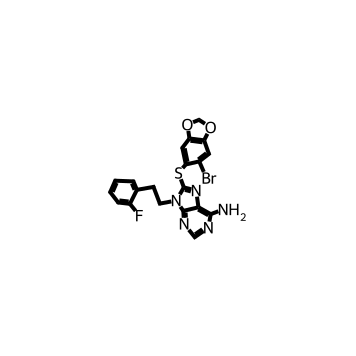 Nc1ncnc2c1nc(Sc1cc3c(cc1Br)OCO3)n2CCc1ccccc1F